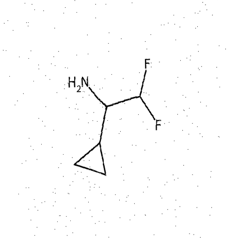 NC(C(F)F)C1CC1